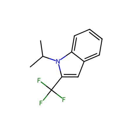 CC(C)n1c(C(F)(F)F)cc2ccccc21